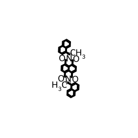 C[C@@H](c1cccc2ccccc12)N1C(=O)c2ccc3c4c(ccc(c24)C1=O)C(=O)N([C@@H](C)c1cccc2ccccc12)C3=O